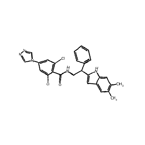 Cc1cc2cc(C(CNC(=O)c3c(Cl)cc(-n4cnnc4)cc3Cl)c3ccccc3)[nH]c2cc1C